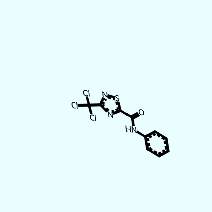 O=C(Nc1ccccc1)c1nc(C(Cl)(Cl)Cl)ns1